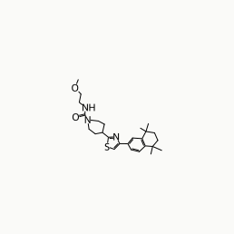 COCCNC(=O)N1CCC(c2nc(-c3ccc4c(c3)C(C)(C)CCC4(C)C)cs2)CC1